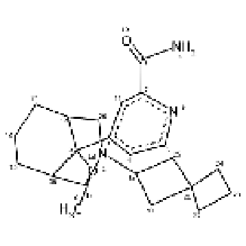 COC1(c2ccnc(C(N)=O)c2)C2CCCC1CN(C1CC3(CCC3)C1)C2